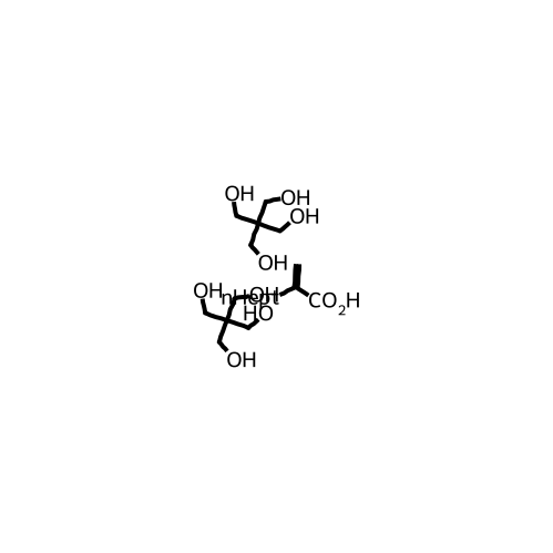 C=C(CCCCCCC)C(=O)O.OCC(CO)(CO)CO.OCC(CO)(CO)CO